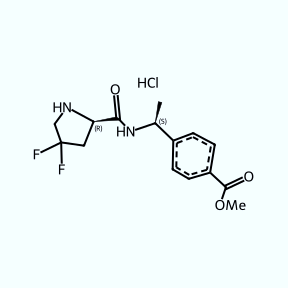 COC(=O)c1ccc([C@H](C)NC(=O)[C@H]2CC(F)(F)CN2)cc1.Cl